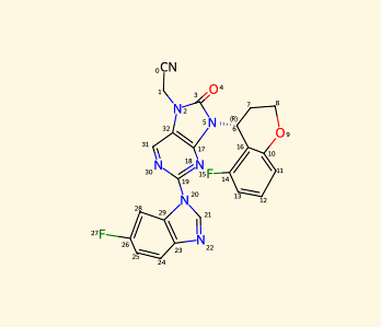 N#CCn1c(=O)n([C@@H]2CCOc3cccc(F)c32)c2nc(-n3cnc4ccc(F)cc43)ncc21